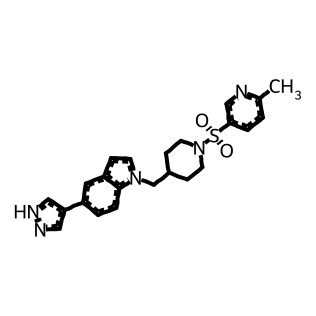 Cc1ccc(S(=O)(=O)N2CCC(Cn3ccc4cc(-c5cn[nH]c5)ccc43)CC2)cn1